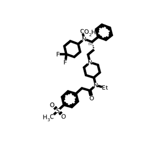 CCN(C(=O)Cc1ccc(S(C)(=O)=O)cc1)C1CCN(CC[C@@H](c2ccccc2)N(C(=O)O)C2CCC(F)(F)CC2)CC1